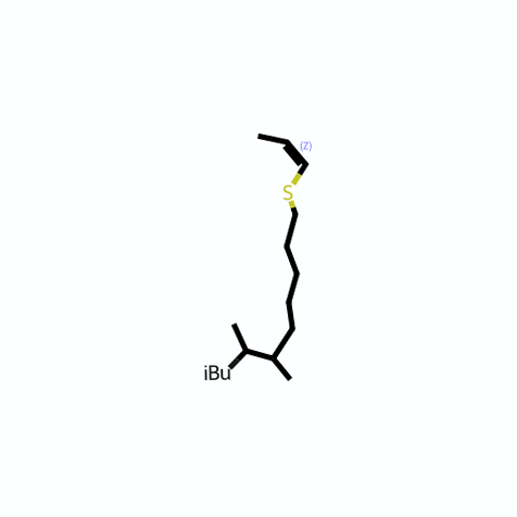 C/C=C\SCCCCCC(C)C(C)C(C)CC